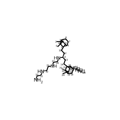 CC1(C)C2CCC(CC2)C1CCC(CCC1C2CCC(CC2)C1(C)C)NCCNCCNCCN.Cl.Cl.Cl.Cl